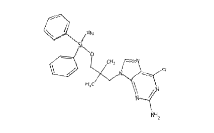 CC(C)(CO[Si](c1ccccc1)(c1ccccc1)C(C)(C)C)Cn1cnc2c(Cl)nc(N)nc21